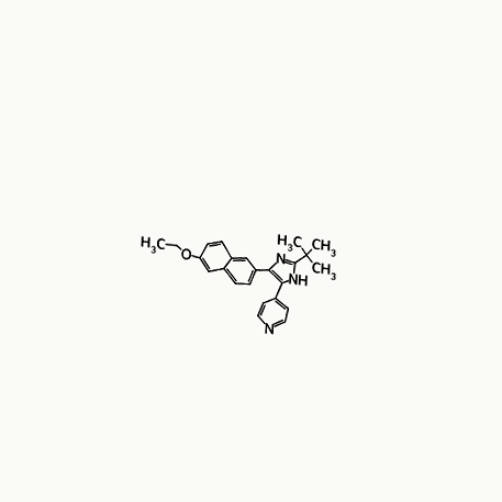 CCOc1ccc2cc(-c3nc(C(C)(C)C)[nH]c3-c3ccncc3)ccc2c1